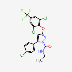 CCNC(=O)n1nc(Oc2c(Cl)cc(C(F)(F)F)cc2Cl)cc1-c1ccc(Cl)cc1